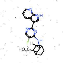 O=C(O)C1C2CCC(CC2)[C@H]1Nc1nc(-c2c[nH]c3ncccc23)ncc1F